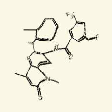 Cc1ccccc1Nc1nc2c(C)cc(=O)n(C)c2cc1NC(=O)c1cc(F)cc(C(F)(F)F)c1